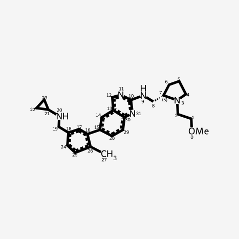 COCCN1CCC[C@H]1CNc1ncc2cc(-c3cc(CNC4CC4)ccc3C)ccc2n1